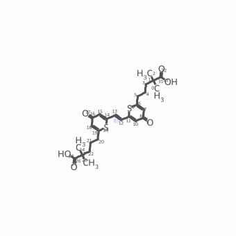 CC(C)(CCCc1cc(=O)cc(/C=C/c2cc(=O)cc(CCCC(C)(C)C(=O)O)s2)s1)C(=O)O